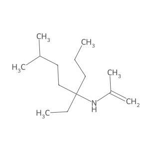 C=C(C)NC(CC)(CCC)CCC(C)C